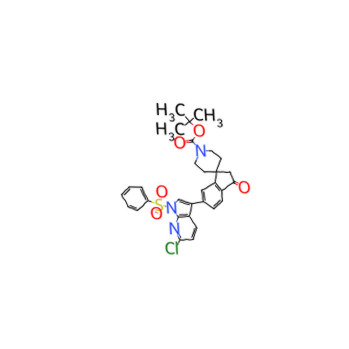 CC(C)(C)OC(=O)N1CCC2(CC1)CC(=O)c1ccc(-c3cn(S(=O)(=O)c4ccccc4)c4nc(Cl)ccc34)cc12